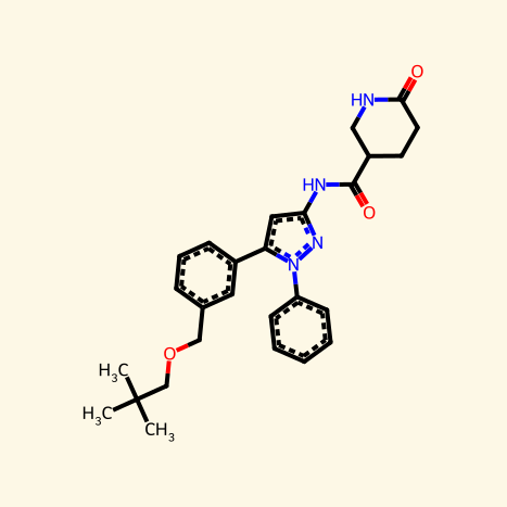 CC(C)(C)COCc1cccc(-c2cc(NC(=O)C3CCC(=O)NC3)nn2-c2ccccc2)c1